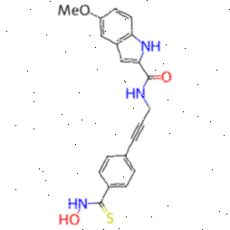 COc1ccc2[nH]c(C(=O)NCC#Cc3ccc(C(=S)NO)cc3)cc2c1